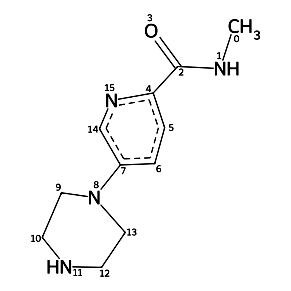 CNC(=O)c1ccc(N2CCNCC2)cn1